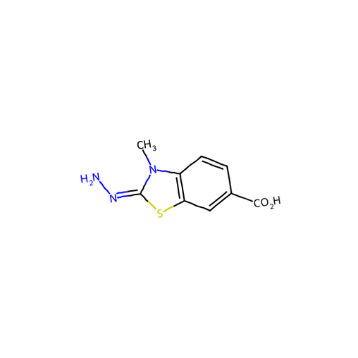 Cn1c(=NN)sc2cc(C(=O)O)ccc21